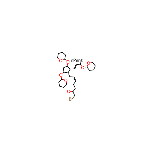 CCCCCC(/C=C/[C@@H]1[C@@H](C/C=C\CCC(=O)CBr)[C@@H](OC2CCCCO2)C[C@H]1OC1CCCCO1)O[C@H]1CCCCO1